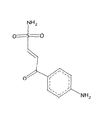 Nc1ccc(C(=O)C=CS(N)(=O)=O)cc1